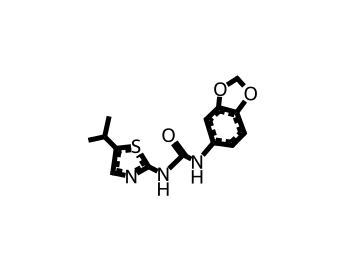 CC(C)c1cnc(NC(=O)Nc2ccc3c(c2)OCO3)s1